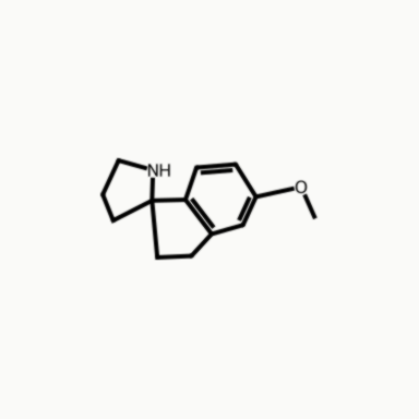 COc1ccc2c(c1)CCC21CCCN1